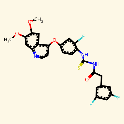 COc1cc2nccc(Oc3ccc(NC(=S)NC(=O)Cc4cc(F)cc(F)c4)c(F)c3)c2cc1OC